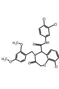 COc1ccc(CN2C(=O)COc3c(Cl)cccc3C2C(=O)Nc2ccc(Cl)c(Cl)c2)c(OC)c1